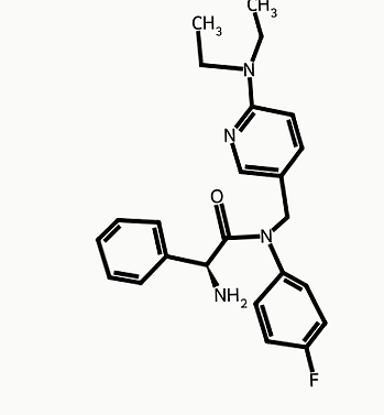 CCN(CC)c1ccc(CN(C(=O)[C@@H](N)c2ccccc2)c2ccc(F)cc2)cn1